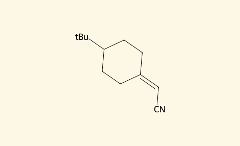 CC(C)(C)C1CCC(=CC#N)CC1